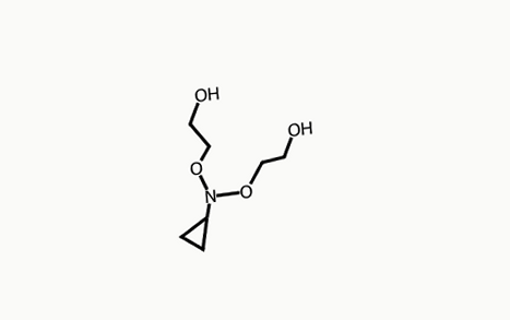 OCCON(OCCO)C1CC1